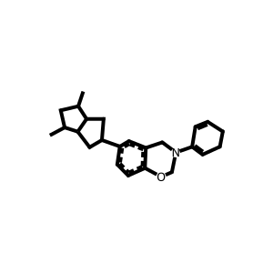 CC1CC(C)C2CC(c3ccc4c(c3)CN(C3=CCCC=C3)CO4)CC12